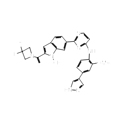 COc1cc(-c2cn[nH]c2)ccc1Nc1ccnc(-c2ccc3cc(C(=O)N4CC(F)(F)C4)n(C)c3c2)n1